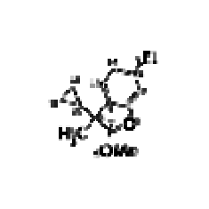 CCc1ccc(C(C)(C(=O)OC)C2CC2)cc1